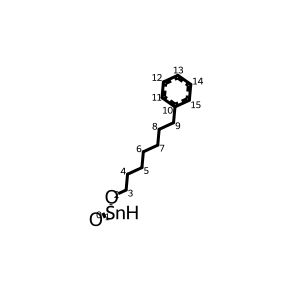 [O]=[SnH][O]CCCCCCCc1ccccc1